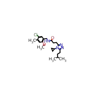 COc1cc(C)c(Cl)cc1CNC(=O)CCc1nnc(CCC(C)C)n1C1CC1